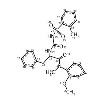 COc1ccccc1N(C)C(=O)C(Cc1ccccc1)NC(=O)NS(=O)(=O)c1ccccc1C